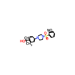 CC(C)(O)c1ccc(N2CCN(S(=O)(=O)c3ccccc3[N+](=O)[O-])CC2)cc1